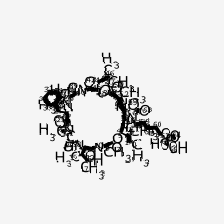 C/C=C(\C)[C@H]1OC(=O)[C@@H](C)NC(=O)[C@H]([C@H](C)CC)NC(=O)CN(C)C(=O)[C@@H](Cc2ccccc2)N(C)C(=O)[C@H](C)NC(=O)[C@@H](CC(C)C)OC(=O)/C(C)=C/C[C@H](N(CCCCCOP(=O)(O)O)C(=O)O)[C@@H]1C